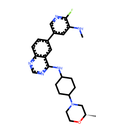 CNc1cc(-c2ccc3ncnc(NC4CCC(N5CCO[C@@H](C)C5)CC4)c3c2)cnc1F